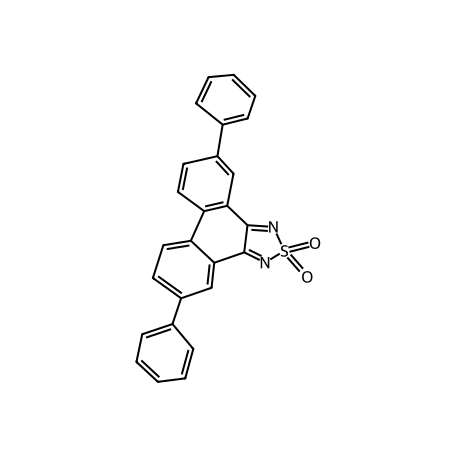 O=S1(=O)N=c2c(c3cc(-c4ccccc4)ccc3c3ccc(-c4ccccc4)cc23)=N1